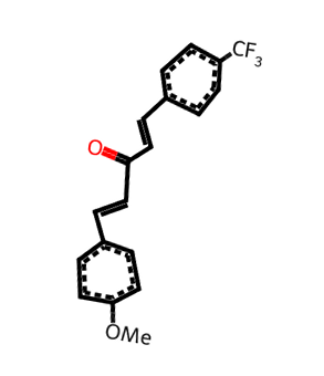 COc1ccc(/C=C/C(=O)/C=C/c2ccc(C(F)(F)F)cc2)cc1